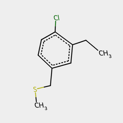 CCc1cc(CSC)ccc1Cl